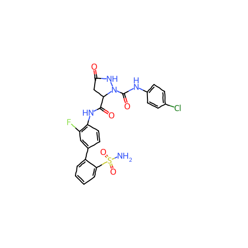 NS(=O)(=O)c1ccccc1-c1ccc(NC(=O)C2CC(=O)NN2C(=O)Nc2ccc(Cl)cc2)c(F)c1